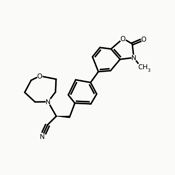 Cn1c(=O)oc2ccc(-c3ccc(C[C@@H](C#N)N4CCCOCC4)cc3)cc21